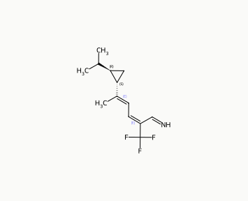 C/C(=C\C=C(/C=N)C(F)(F)F)[C@H]1C[C@@H]1C(C)C